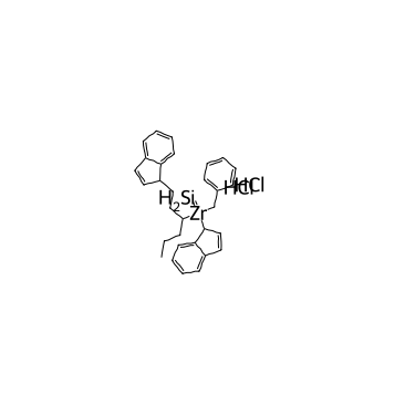 CCC[CH](CCC1C=Cc2ccccc21)[Zr](=[SiH2])([CH2]c1ccccc1)[CH]1C=Cc2ccccc21.Cl.Cl